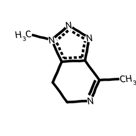 CC1=NCCc2c1nnn2C